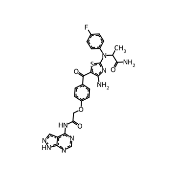 CC(C(N)=O)N(c1ccc(F)cc1)c1nc(N)c(C(=O)c2ccc(OCC(=O)Nc3ncnc4[nH]ncc34)cc2)s1